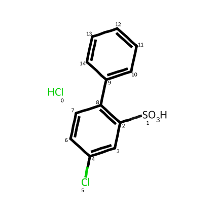 Cl.O=S(=O)(O)c1cc(Cl)ccc1-c1ccccc1